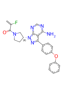 C=C(F)C(=O)N1CC[C@@H](n2nc(-c3ccc(Oc4ccccc4)cc3)c3c(N)ncnc32)C1